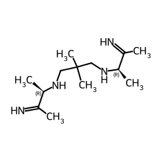 CC(=N)[C@@H](C)NCC(C)(C)CN[C@H](C)C(C)=N